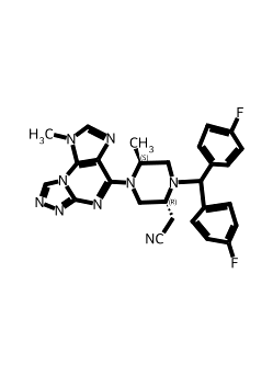 C[C@H]1CN(C(c2ccc(F)cc2)c2ccc(F)cc2)[C@H](CC#N)CN1c1nc2nncn2c2c1ncn2C